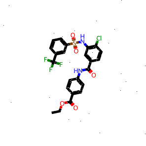 CCOC(=O)c1ccc(NC(=O)c2ccc(Cl)c(NS(=O)(=O)c3cccc(C(F)(F)F)c3)c2)cc1